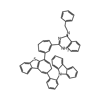 N/C(=N\C(=N/Cc1ccccc1)c1ccccc1)C1=CC(C2=CCC(c3ccccc3-n3c4ccccc4c4ccccc43)=Cc3c2sc2ccccc32)=CCC=C1